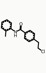 Cc1ccccc1NC(=O)c1ccc(CCCl)cc1